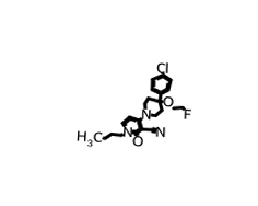 CCCCn1ccc(N2CCC(OCCF)(c3ccc(Cl)cc3)CC2)c(C#N)c1=O